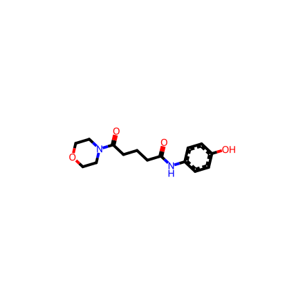 O=C(CCCC(=O)N1CCOCC1)Nc1ccc(O)cc1